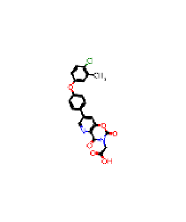 Cc1cc(Oc2ccc(-c3cnc4c(=O)n(CC(=O)O)c(=O)oc4c3)cc2)ccc1Cl